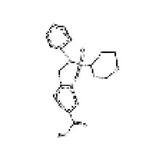 COC(=O)c1ccc(CN(c2ccccc2)S(=O)(=O)C2CCOCC2)nc1